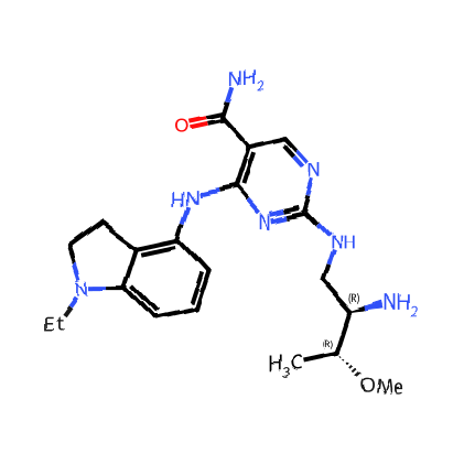 CCN1CCc2c(Nc3nc(NC[C@@H](N)[C@@H](C)OC)ncc3C(N)=O)cccc21